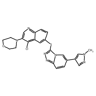 Cn1cc(-c2ccc3nnc(Sc4ccc5ncc(N6CCOCC6)c(Cl)c5c4)n3c2)cn1